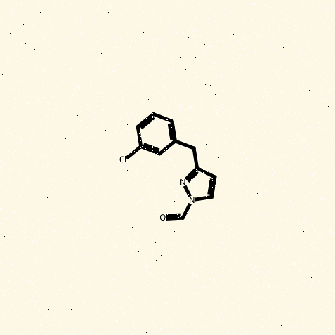 O=Cn1ccc(Cc2cccc(Cl)c2)n1